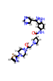 O=C(Nc1ccc2[nH]nc(-c3cncnc3)c2c1)[C@@H]1CCN(CC(=O)N2CCN(c3nccs3)CC2)C1